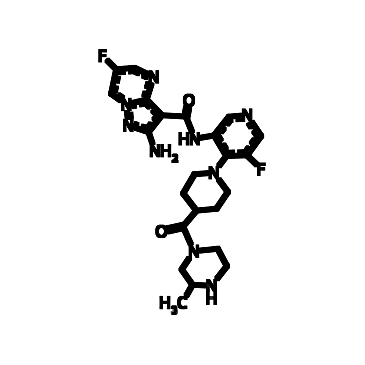 CC1CN(C(=O)C2CCN(c3c(F)cncc3NC(=O)c3c(N)nn4cc(F)cnc34)CC2)CCN1